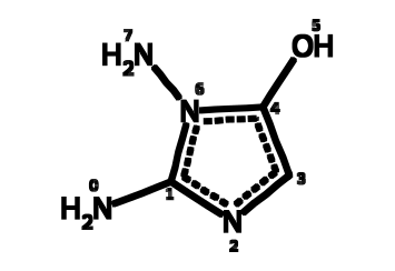 Nc1ncc(O)n1N